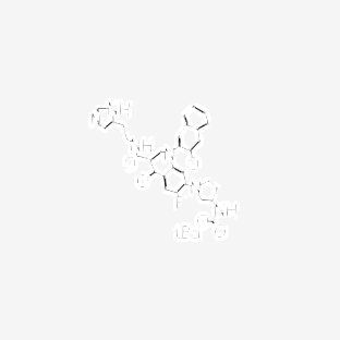 CC(C)(C)OC(=O)NC1CCN(c2c(F)cc3c(=O)c(C(=O)NCCc4cnc[nH]4)cn4c3c2Oc2cc3ccccc3cc2-4)C1